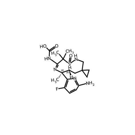 CC1(C)C(NC(=O)O)=N[C@](C)(c2nc(N)ccc2F)[C@H]2CC3(CC3)CN[SH]21=O